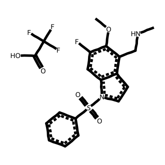 CNCc1c(OC)c(F)cc2c1ccn2S(=O)(=O)c1ccccc1.O=C(O)C(F)(F)F